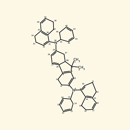 CC1(C)C2=C(CCC(N(C3=CCCC4=C3CCC=C4)C3C=CC=CC3)=C2)C2=CC=C(N(C3=CCCC4=C3CCC=C4)C3C=CC=CC3)CC21